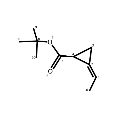 C/C=C1/C[C@@H]1C(=O)OC(C)(C)C